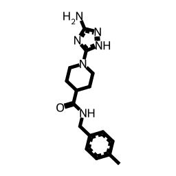 Cc1ccc(CNC(=O)C2CCN(c3nc(N)n[nH]3)CC2)cc1